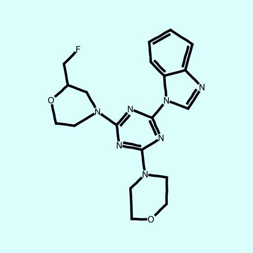 FCC1CN(c2nc(N3CCOCC3)nc(-n3cnc4ccccc43)n2)CCO1